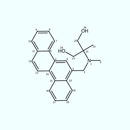 CN(Cc1cc2c3ccccc3ccc2c2ccccc12)C(C)(CO)CO